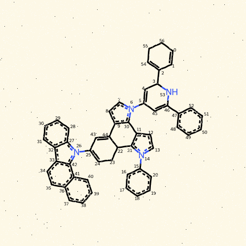 C1=CC(C2C=C(n3ccc4c3-c3ccn(-c5ccccc5)c3C3CC=C(n5c6ccccc6c6ccc7ccccc7c65)C=C43)C=C(c3ccccc3)N2)=CCC1